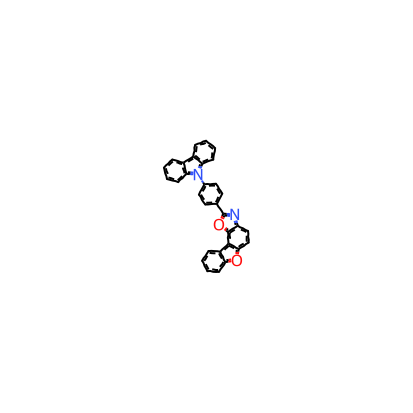 c1ccc2c(c1)oc1ccc3nc(-c4ccc(-n5c6ccccc6c6ccccc65)cc4)oc3c12